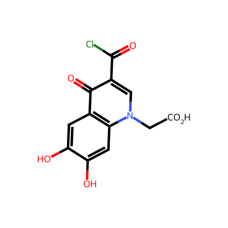 O=C(O)Cn1cc(C(=O)Cl)c(=O)c2cc(O)c(O)cc21